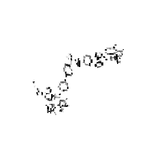 CCCOC(=O)C[C@@H]1N=C(c2ccc(-c3ccc(C(=O)NCc4ccc(S(=O)(=O)Nc5ccc(C)c6c(C)c[nH]c56)cc4)cc3)cc2)c2c(sc(C)c2C)-n2c(C)nnc21